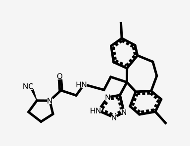 Cc1ccc2c(c1)CCc1cc(C)ccc1C2(CCNCC(=O)N1CCC[C@H]1C#N)c1nn[nH]n1